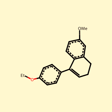 [CH2]COc1ccc(C2=CCCc3cc(OC)ccc32)cc1